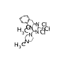 COc1ccccc1Cc1nc(N2CCN(C)CC2)nc(C(Cl)(Cl)Cl)n1